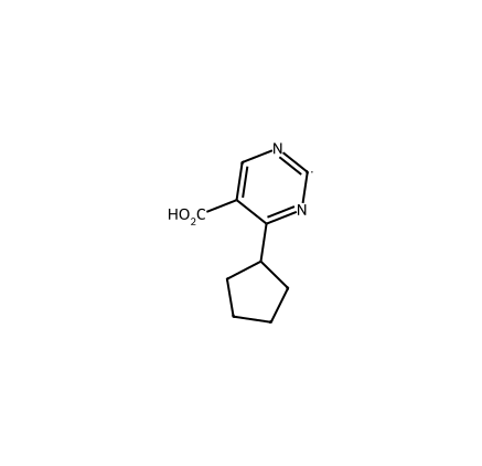 O=C(O)c1cn[c]nc1C1CCCC1